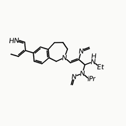 C=N/C(=C\N1CCCc2cc(/C(C=N)=C/C)ccc2C1)C(NCC)N(N=C)C(C)C